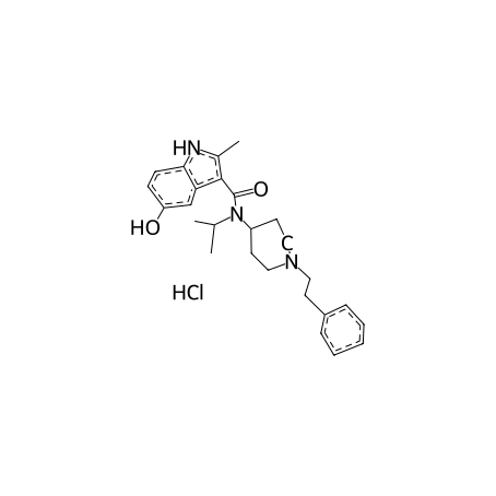 Cc1[nH]c2ccc(O)cc2c1C(=O)N(C(C)C)C1CCN(CCc2ccccc2)CC1.Cl